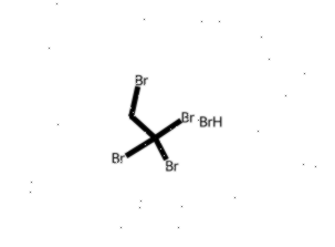 Br.BrCC(Br)(Br)Br